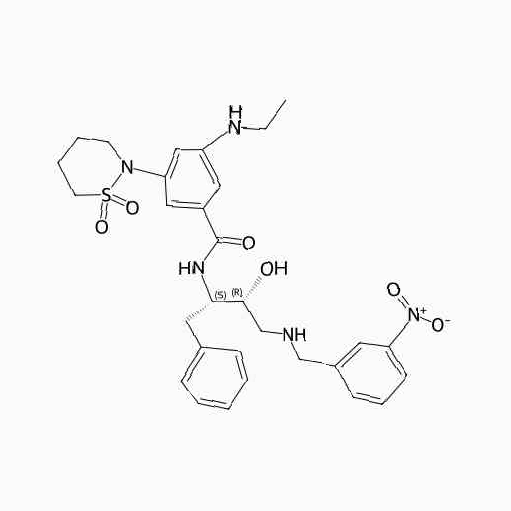 CCNc1cc(C(=O)N[C@@H](Cc2ccccc2)[C@H](O)CNCc2cccc([N+](=O)[O-])c2)cc(N2CCCCS2(=O)=O)c1